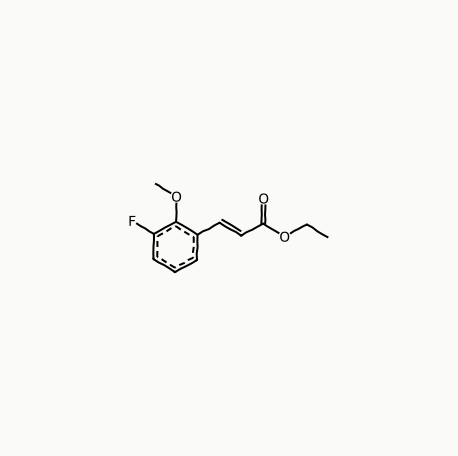 CCOC(=O)/C=C/c1cccc(F)c1OC